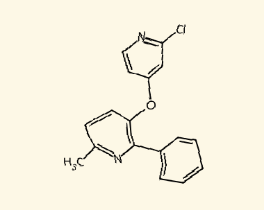 Cc1ccc(Oc2ccnc(Cl)c2)c(-c2ccccc2)n1